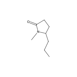 CCCC1CCC(=O)N1C